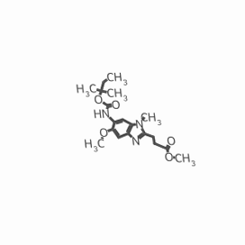 CCC(C)(C)OC(=O)Nc1cc2c(cc1OC)nc(CCC(=O)OC)n2C